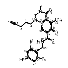 C#CCCCN1CN(C)C(=O)c2c(O)c(=O)c(C(=O)NCc3c(F)cc(F)cc3F)cn21